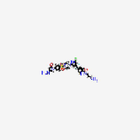 NCCCNC(=O)C12CCC(C(F)(F)c3cc(Cl)nc(N4CCN(S(=O)(=O)c5ccc(N6C[C@H](N)CC6=O)cc5)CC4)c3)(CC1)C2